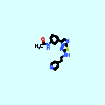 CC(=O)Nc1cccc(-c2cnc3sc(NCCc4ccncc4)nn23)c1